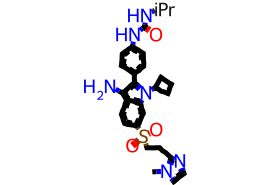 CC(C)NC(=O)Nc1ccc(-c2c(N)c3ccc(S(=O)(=O)CCc4nccn4C)cc3n2C2CCC2)cc1